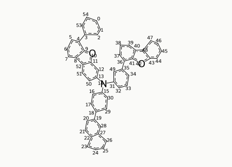 c1ccc(-c2cccc3c2oc2cc(N(c4ccc(-c5ccc6ccccc6c5)cc4)c4cccc(-c5cccc6c5oc5ccccc56)c4)ccc23)cc1